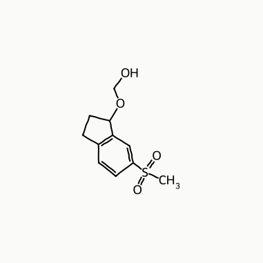 CS(=O)(=O)c1ccc2c(c1)C(OCO)CC2